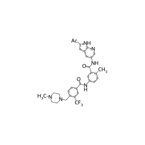 CC(=O)c1cc2cc(NC(=O)c3cc(NC(=O)c4ccc(CN5CCN(C)CC5)c(C(F)(F)F)c4)ccc3C)cnc2[nH]1